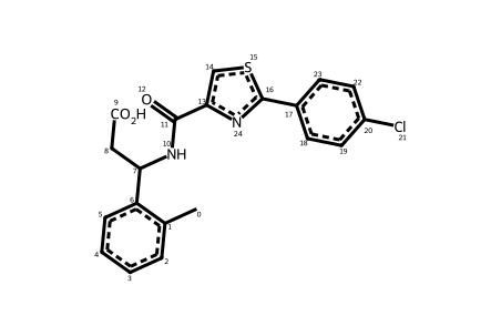 Cc1ccccc1C(CC(=O)O)NC(=O)c1csc(-c2ccc(Cl)cc2)n1